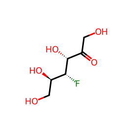 O=C(CO)[C@@H](O)[C@H](F)[C@H](O)CO